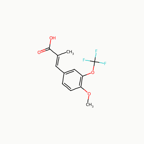 COc1ccc(/C=C(\C)C(=O)O)cc1OC(F)(F)F